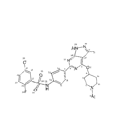 CC(=O)N1CCC(Oc2nc(-c3ccc(NS(=O)(=O)c4cc(Cl)ccc4F)cc3)nc3[nH]nc(C)c23)CC1